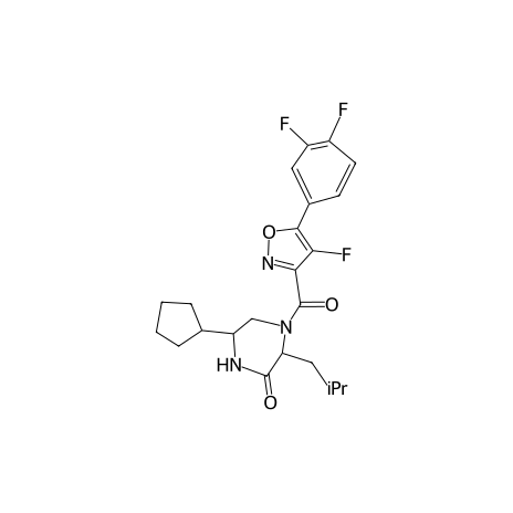 CC(C)CC1C(=O)NC(C2CCCC2)CN1C(=O)c1noc(-c2ccc(F)c(F)c2)c1F